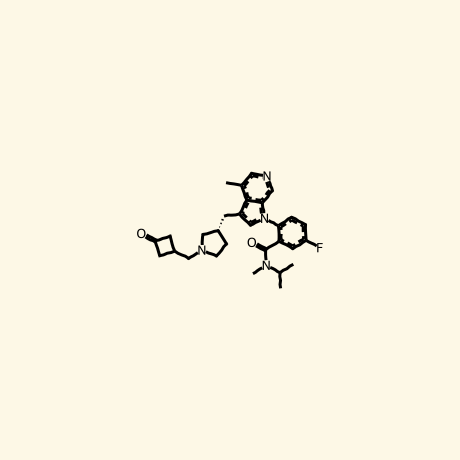 Cc1cncc2c1c(C[C@@H]1CCN(CC3CC(=O)C3)C1)cn2-c1ccc(F)cc1C(=O)N(C)C(C)C